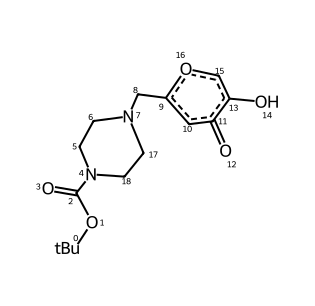 CC(C)(C)OC(=O)N1CCN(Cc2cc(=O)c(O)co2)CC1